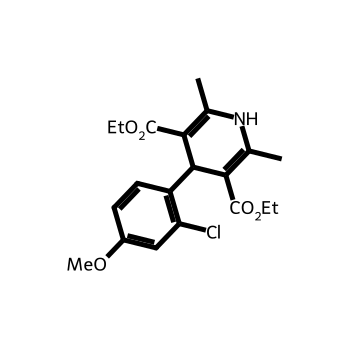 CCOC(=O)C1=C(C)NC(C)=C(C(=O)OCC)C1c1ccc(OC)cc1Cl